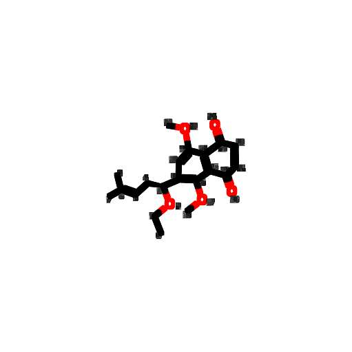 CCO[C@@H](CC=C(C)C)c1cc(OC)c2c(c1OC)C(=O)C=CC2=O